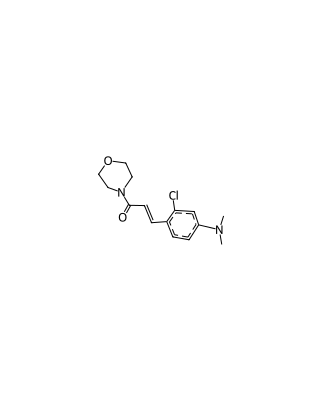 CN(C)c1ccc(C=CC(=O)N2CCOCC2)c(Cl)c1